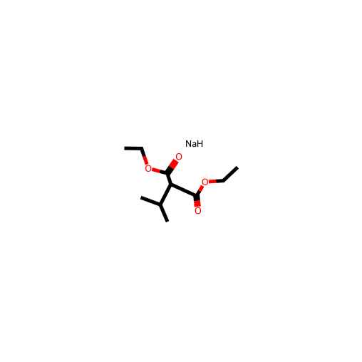 CCOC(=O)C(C(=O)OCC)C(C)C.[NaH]